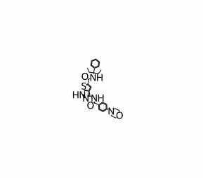 CCC(CC)(NC(=O)c1cc2c(NC(=O)c3ccc(N4CCOCC4)cc3)n[nH]c2s1)c1ccccc1